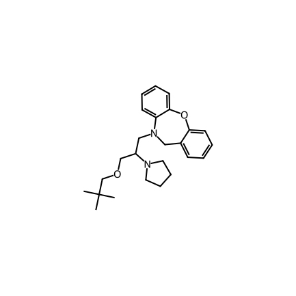 CC(C)(C)COCC(CN1Cc2ccccc2Oc2ccccc21)N1CCCC1